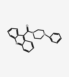 O=C(c1c2ccccc2nc2ccccc12)N1CCN(c2c[c]ccc2)CC1